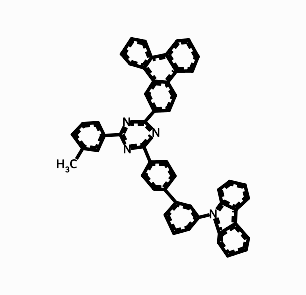 Cc1cccc(-c2nc(-c3ccc(-c4cccc(-n5c6ccccc6c6ccccc65)c4)cc3)nc(-c3ccc4c5ccccc5c5ccccc5c4c3)n2)c1